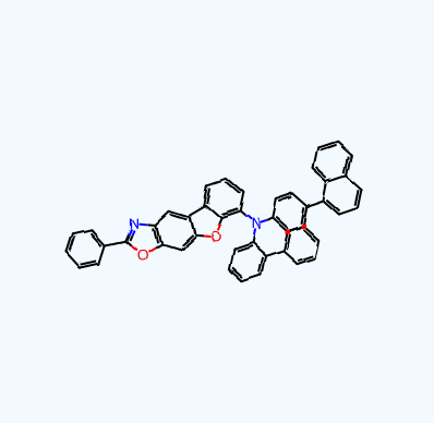 c1ccc(-c2nc3cc4c(cc3o2)oc2c(N(c3ccc(-c5cccc6ccccc56)cc3)c3ccccc3-c3ccccc3)cccc24)cc1